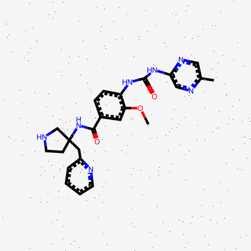 COc1cc(C(=O)NC2(Cc3ccccn3)CCNC2)ccc1NC(=O)Nc1cnc(C)cn1